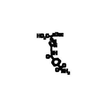 CCCCCCCCCCC(C(=O)O)n1cc(CNC(=O)c2ccc(S(N)(=O)=O)cc2)nn1